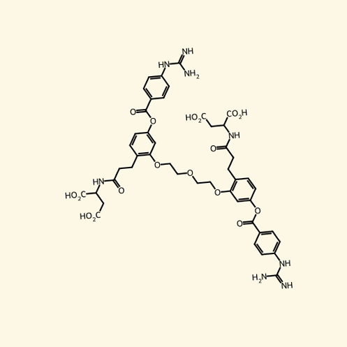 N=C(N)Nc1ccc(C(=O)Oc2ccc(CCC(=O)NC(CC(=O)O)C(=O)O)c(OCCOCCOc3cc(OC(=O)c4ccc(NC(=N)N)cc4)ccc3CCC(=O)NC(CC(=O)O)C(=O)O)c2)cc1